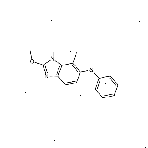 COc1nc2ccc(Sc3ccccc3)c(C)c2[nH]1